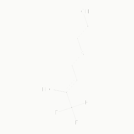 CC[CH]SC/C=C(\C)C(F)(F)F